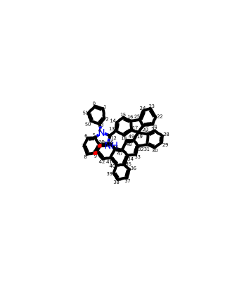 c1ccc(N2c3ccccc3NC2c2ccc3c(c2)C2(c4ccccc4-3)c3ccccc3-c3cc4c5ccccc5c5ccccc5c4cc32)cc1